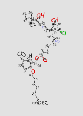 CCCCCCCCCCCCCCCCOc1cccc(C(=O)O)c1C(C)OC(=O)CCC/C=C\C[C@@H]1[C@@H](/C=C/C[C@H](O)C2(CC)CCC2)[C@H](O)C[C@H]1Cl